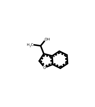 CC(O)c1coc2ccccc12